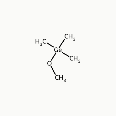 C[O][Ge]([CH3])([CH3])[CH3]